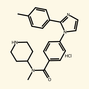 Cc1ccc(-c2nccn2-c2ccc(C(=O)N(C)C3CCNCC3)cc2)cc1.Cl